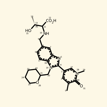 Cc1cc(-c2nc3cc(CNC(C(=O)O)[C@@H](C)O)ccc3n2CC2CCCCO2)cn(C)c1=O